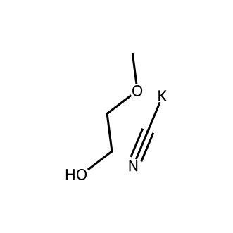 COCCO.N#[C][K]